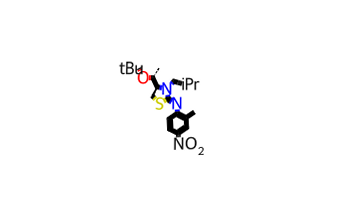 Cc1cc([N+](=O)[O-])ccc1/N=C1\SC[C@@H]([C@@H](C)OC(C)(C)C)N1CC(C)C